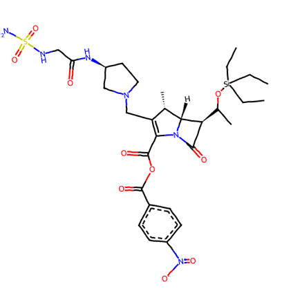 CC[Si](CC)(CC)OC(C)[C@H]1C(=O)N2C(C(=O)OC(=O)c3ccc([N+](=O)[O-])cc3)=C(CN3CC[C@H](NC(=O)CNS(N)(=O)=O)C3)[C@H](C)[C@H]12